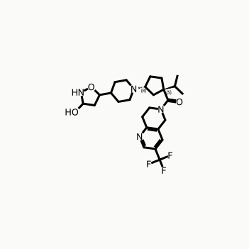 CC(C)[C@]1(C(=O)N2CCc3ncc(C(F)(F)F)cc3C2)CC[C@@H](N2CCC(C3CC(O)NO3)CC2)C1